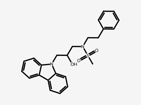 CS(=O)(=O)N(CCc1ccccc1)CC(O)Cn1c2ccccc2c2ccccc21